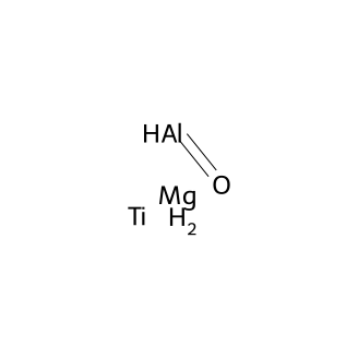 [MgH2].[O]=[AlH].[Ti]